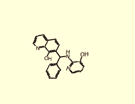 Oc1cccnc1NC(c1ccccc1)c1ccc2cccnc2c1O